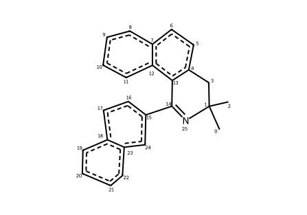 CC1(C)Cc2ccc3ccccc3c2C(c2ccc3ccccc3c2)=N1